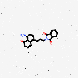 Nc1ccc(CCCN2C(=O)c3ccccc3C2=O)c2c1C(=O)CC=C2